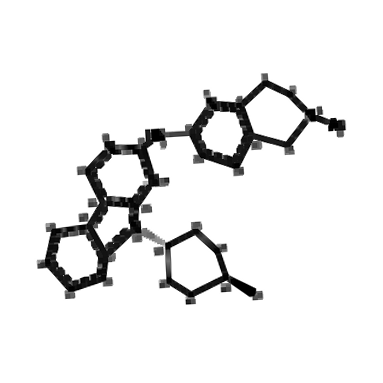 CC(=O)N1CCc2nc(Nc3ncc4c5ccccc5n([C@H]5CC[C@H](C)CC5)c4n3)ccc2C1